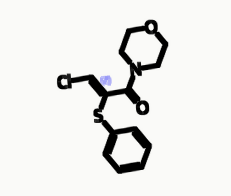 O=C(/C(=C/Cl)Sc1ccccc1)N1CCOCC1